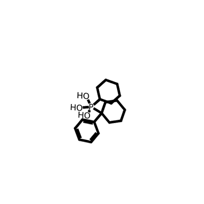 OP(O)(O)(C1CCCCC1)C1(c2ccccc2)CCCCC1